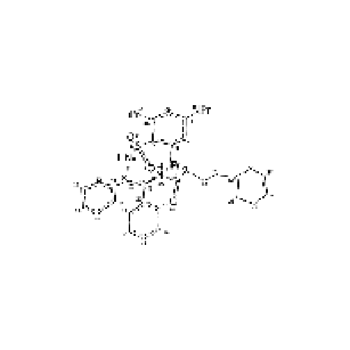 CC(C)c1cc(C(C)C)c(S(=O)(=O)N[C@@H](c2ccccc2)[C@@H](NC(=O)CCCC2=CCC=CC2)c2ccccc2)c(C(C)C)c1